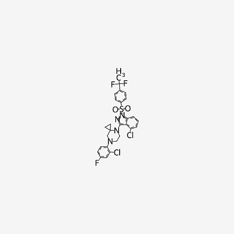 CC(F)(F)c1ccc(S(=O)(=O)n2nc(N3CCN(c4ccc(F)cc4Cl)CC34CC4)c3c(Cl)cccc32)cc1